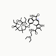 CCC(C)C(=O)[C@H](C)OC(C)(CC)C(=O)C(C)(C)CC(C)(C)CC(=O)Oc1ccc2c(c1)/C(=C\c1[nH]c(C)c(C(=O)NCCN(CC)CC)c1C)C(=O)N2